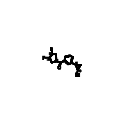 CC[C@H]1C[C@@H]1c1cccc(C(=O)N2C[C@@H](F)[C@@H](F)C2)c1